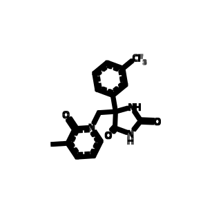 Cc1cccn(CC2(c3cccc(C(F)(F)F)c3)NC(=O)NC2=O)c1=O